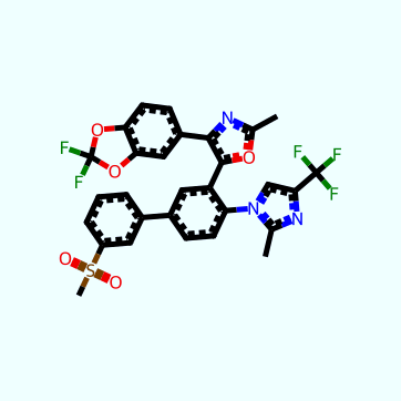 Cc1nc(-c2ccc3c(c2)OC(F)(F)O3)c(-c2cc(-c3cccc(S(C)(=O)=O)c3)ccc2-n2cc(C(F)(F)F)nc2C)o1